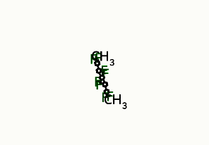 CC(F)(F)c1ccc(-c2ccc3c(c2)C(F)(F)c2cc4c(cc2-3)C(F)(F)c2cc(-c3ccc(C(C)(F)F)cc3)ccc2-4)cc1